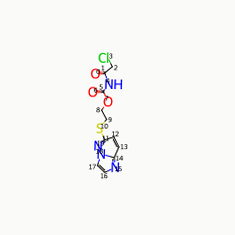 O=C(CCl)NC(=O)OCCSc1ccc2nccn2n1